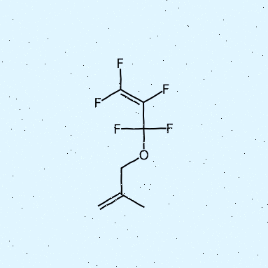 C=C(C)COC(F)(F)C(F)=C(F)F